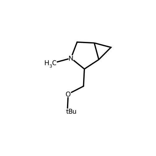 CN1CC2CC2C1COC(C)(C)C